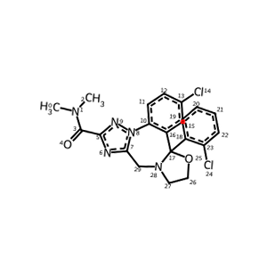 CN(C)C(=O)c1nc2n(n1)-c1ccc(Cl)cc1C1(c3ccccc3Cl)OCCN1C2